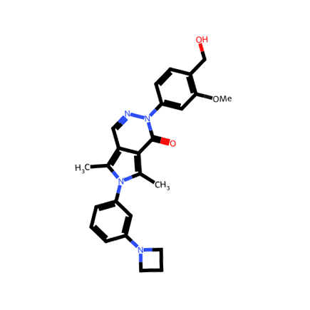 COc1cc(-n2ncc3c(C)n(-c4cccc(N5CCC5)c4)c(C)c3c2=O)ccc1CO